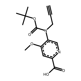 C#CCN(C(=O)OC(C)(C)C)c1cnc(C(=O)O)cc1OC